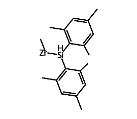 [CH3][Zr][SiH](c1c(C)cc(C)cc1C)c1c(C)cc(C)cc1C